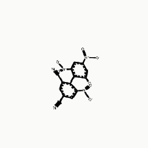 N#Cc1[c]c(C#N)c(-c2c(Cl)cc([N+](=O)[O-])cc2[N+](=O)[O-])c([N+](=O)[O-])c1